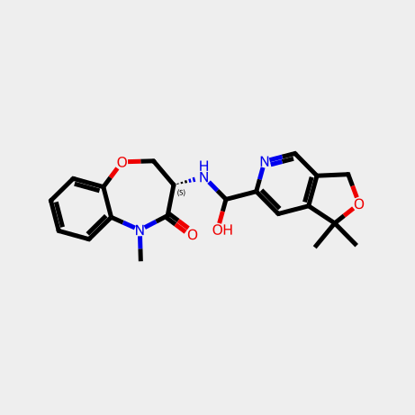 CN1C(=O)[C@@H](NC(O)c2cc3c(cn2)COC3(C)C)COc2ccccc21